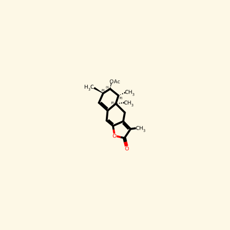 CC(=O)O[C@H]1[C@H](C)C=C2C=C3OC(=O)C(C)=C3C[C@]2(C)[C@H]1C